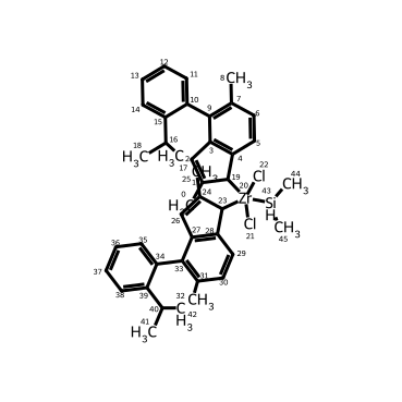 CC1=Cc2c(ccc(C)c2-c2ccccc2C(C)C)[CH]1[Zr]([Cl])([Cl])([CH]1C(C)=Cc2c1ccc(C)c2-c1ccccc1C(C)C)[SiH](C)C